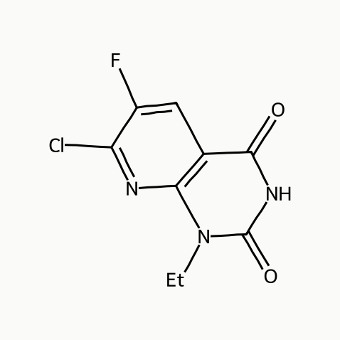 CCn1c(=O)[nH]c(=O)c2cc(F)c(Cl)nc21